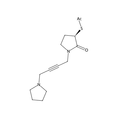 CC(=O)S[C@@H]1CCN(CC#CCN2CCCC2)C1=O